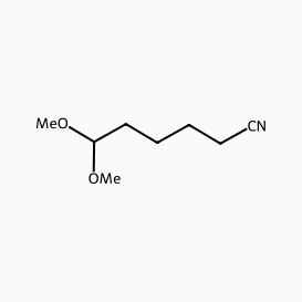 COC(CCCCC#N)OC